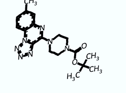 Cc1ccc2c(c1)nc(N1CCN(C(=O)OC(C)(C)C)CC1)c1nnnn12